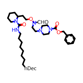 CCCCCCCCCCCCCCCCCCNC(=O)N1CCCCC1CCON(C=O)CCN1CCN(C(=O)OCc2ccccc2)CC1